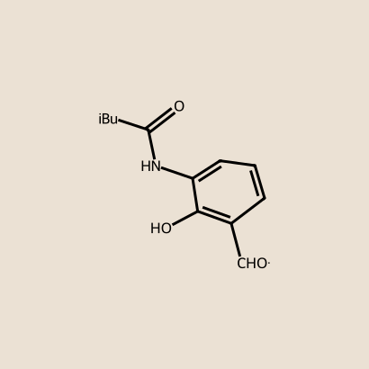 CCC(C)C(=O)Nc1cccc([C]=O)c1O